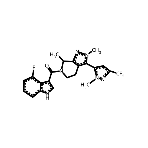 CC1c2nn(C)c(-c3cc(C(F)(F)F)nn3C)c2CCN1C(=O)c1c[nH]c2cccc(F)c12